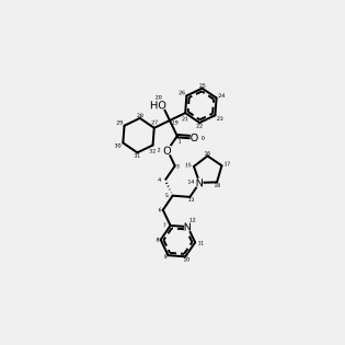 O=C(OCC[C@@H](Cc1ccccn1)CN1CCCC1)C(O)(c1ccccc1)C1CCCCC1